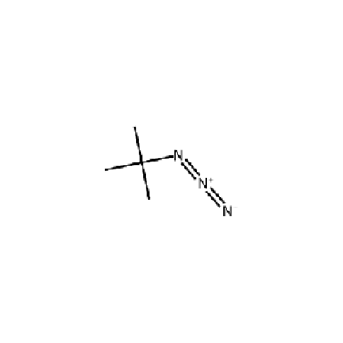 CC(C)(C)N=[N+]=[N-]